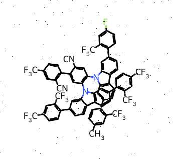 [C-]#[N+]c1cc(-n2c3cc(-c4ccc(C)cc4C(F)(F)F)ccc3c3ccc(-c4ccc(F)cc4C(F)(F)F)cc32)c(-n2c3cc(-c4ccc(C(F)(F)F)cc4C(F)(F)F)ccc3c3ccc(-c4ccc(C(F)(F)F)cc4C(F)(F)F)cc32)cc1-c1ccc(C(F)(F)F)cc1C#N